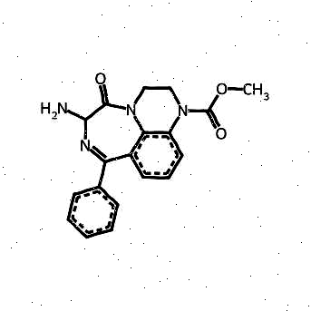 COC(=O)N1CCN2C(=O)C(N)N=C(c3ccccc3)c3cccc1c32